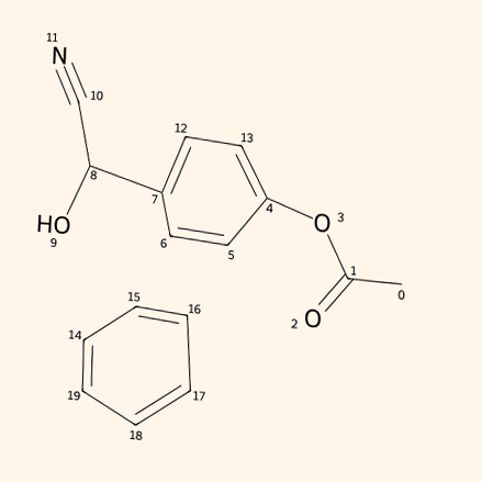 CC(=O)Oc1ccc(C(O)C#N)cc1.c1ccccc1